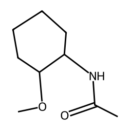 COC1CCCCC1NC(C)=O